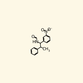 CC(c1ccccc1)C(NC=O)c1cccc([N+](=O)[O-])c1